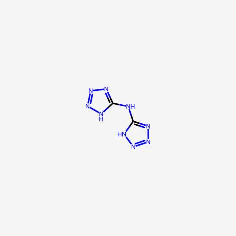 n1n[nH]c(Nc2nnn[nH]2)n1